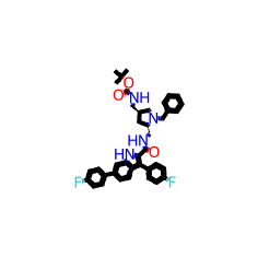 CC(C)(C)OC(=O)NC[C@@H]1C[C@@H](CNC(=O)c2[nH]c3cc(-c4ccc(F)cc4)ccc3c2-c2ccc(F)cc2)N(Cc2ccccc2)C1